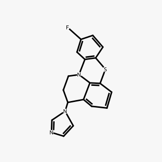 Fc1ccc2c(c1)N1CCC(n3ccnc3)c3cccc(c31)S2